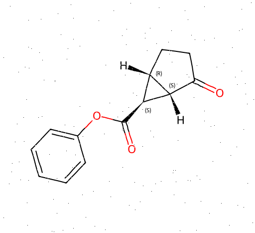 O=C1CC[C@@H]2[C@H]1[C@H]2C(=O)Oc1ccccc1